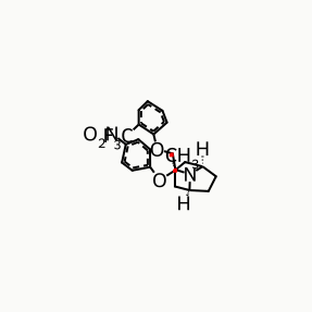 C[C@]1(Oc2ccc([N+](=O)[O-])cc2)C[C@H]2CC[C@@H](C1)N2CCOc1ccccc1C(F)(F)F